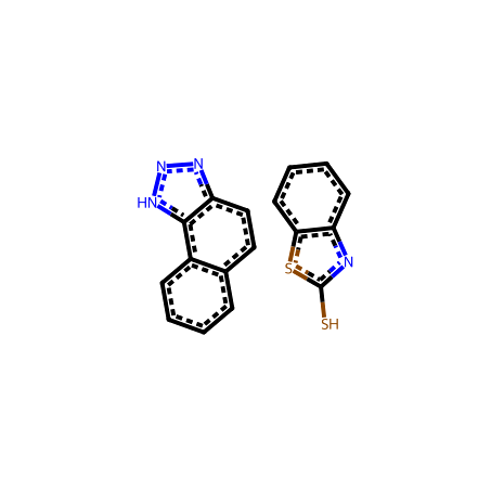 Sc1nc2ccccc2s1.c1ccc2c(c1)ccc1nn[nH]c12